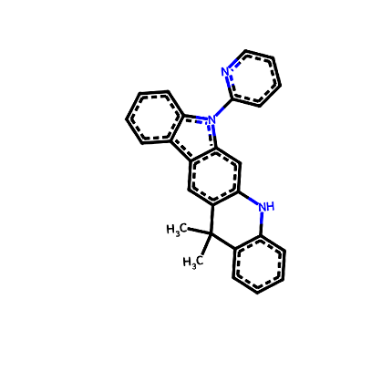 CC1(C)c2ccccc2Nc2cc3c(cc21)c1ccccc1n3-c1ccccn1